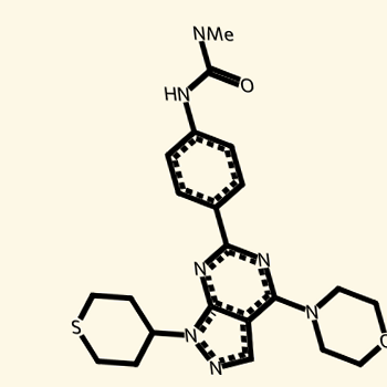 CNC(=O)Nc1ccc(-c2nc(N3CCOCC3)c3cnn(C4CCSCC4)c3n2)cc1